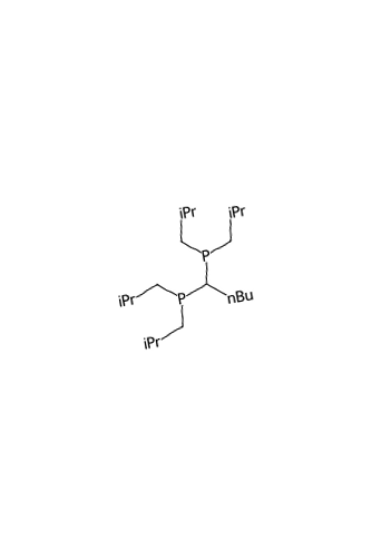 CCCCC(P(CC(C)C)CC(C)C)P(CC(C)C)CC(C)C